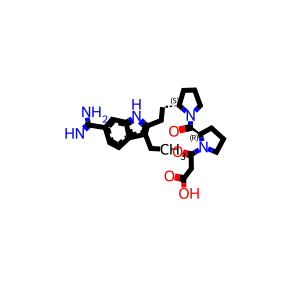 CCc1c(CC[C@@H]2CCCN2C(=O)[C@H]2CCCN2C(=O)CC(=O)O)[nH]c2cc(C(=N)N)ccc12